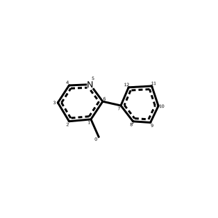 Cc1cccnc1-c1[c]cccc1